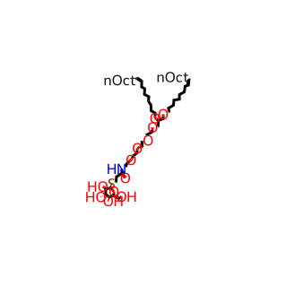 CCCCCCCC/C=C\CCCCCCCCOCC(COCCOCCOCCOCCNC(=O)CCS[C@H]1OC(CO)[C@@H](O)[C@H](O)C1O)OCCCCCCCC/C=C\CCCCCCCC